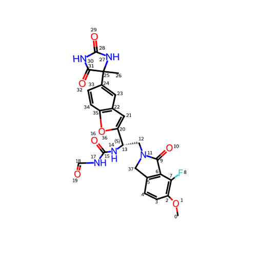 COc1ccc2c(c1F)C(=O)N(C[C@H](NC(=O)NC=O)c1cc3cc(C4(C)NC(=O)NC4=O)ccc3o1)C2